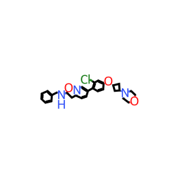 O=C(Cc1ccc(-c2ccc(O[C@H]3C[C@H](N4CCOCC4)C3)cc2Cl)cn1)NCc1ccccc1